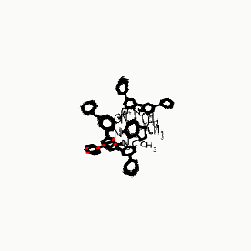 CC1(C)CC(C)(C)c2c(-n3c4ccc(-c5ccccc5)cc4c4cc(-c5ccccc5)ccc43)c([N+](=O)[O-])c(-n3c4ccc(-c5ccccc5)cc4c4cc(-c5ccccc5)ccc43)c(-n3c4ccc(-c5ccccc5)cc4c4cc(-c5ccccc5)ccc43)c21